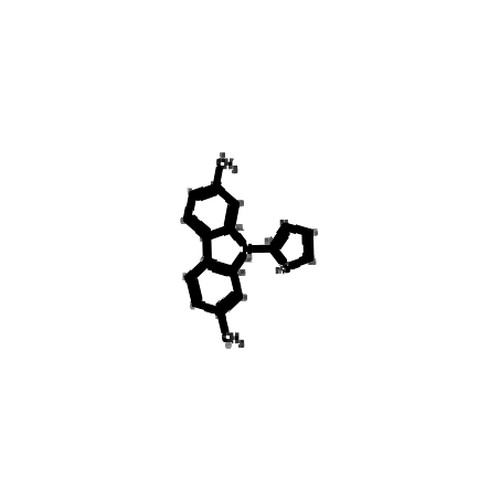 Cc1ccc2c3ccc(C)cc3n(-c3cccs3)c2c1